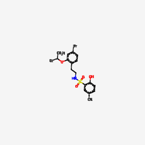 CCC(Oc1cc(C(C)C)ccc1CCNS(=O)(=O)c1cc(C#N)ccc1O)C(=O)O